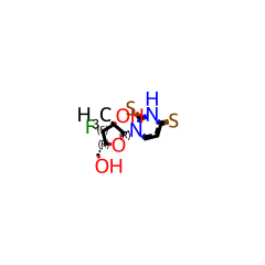 CC1(O)[C@@H](F)[C@@H](CO)O[C@H]1n1ccc(=S)[nH]c1=S